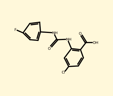 O=C(Nc1ccc(F)cc1)Nc1cc(Cl)ccc1C(=O)O